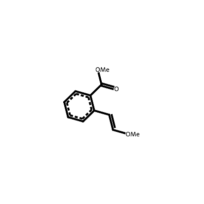 CO/C=C/c1ccccc1C(=O)OC